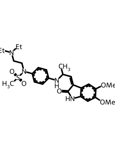 CCN(CC)CCN(c1ccc(NC(C)C=C2C(=O)Nc3cc(OC)c(OC)cc32)cc1)S(C)(=O)=O